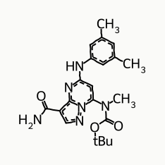 Cc1cc(C)cc(Nc2cc(N(C)C(=O)OC(C)(C)C)n3ncc(C(N)=O)c3n2)c1